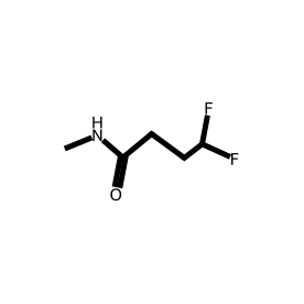 CNC(=O)CCC(F)F